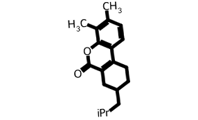 Cc1ccc2c3c(c(=O)oc2c1C)CC(CC(C)C)CC3